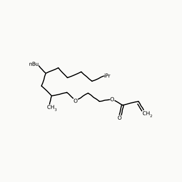 C=CC(=O)OCCOCC(C)CC(CCCC)CCCCC(C)C